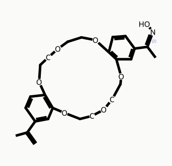 C=C(C)c1ccc2c(c1)OCCOCCOc1cc(/C(C)=N\O)ccc1OCCOCCO2